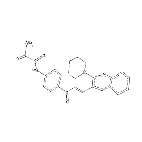 NC(=O)C(=O)Nc1ccc(C(=O)/C=C/c2cc3ccccc3nc2N2CCCCC2)cc1